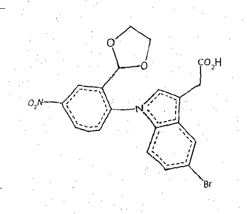 O=C(O)Cc1cn(-c2ccc([N+](=O)[O-])cc2C2OCCO2)c2ccc(Br)cc12